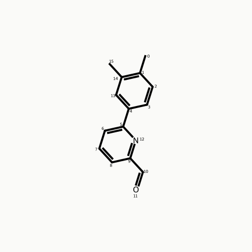 Cc1ccc(-c2cccc(C=O)n2)cc1C